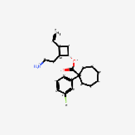 C=CC1C[C@H](OC(=O)C2(c3cccc(F)c3)CCCCCC2)C1CCN